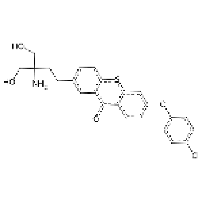 NC(CO)(CO)CCc1ccc2sc3cc(Oc4ccc(Cl)cc4)ccc3c(=O)c2c1